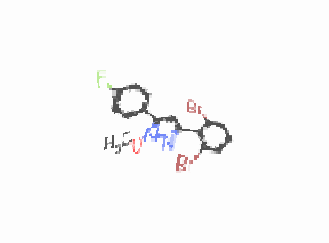 COn1nc(-c2c(Br)cccc2Br)cc1-c1ccc(F)cc1